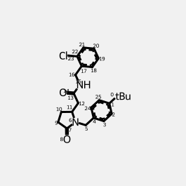 CC(C)(C)c1ccc(CN2C(=O)CCC2CC(=O)NCc2ccccc2Cl)cc1